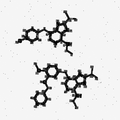 CCNc1ncn(Cc2cc[n+]([O-])cc2)c2nc(C(C)C)nc1-2.CCNc1ncn(Cc2ccc(OC)c(OCc3ccncc3)c2)c2nc(C(C)C)nc1-2